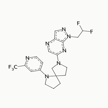 FC(F)Cn1ncc2ncc(N3CCC4(CCCN4c4ccnc(C(F)(F)F)c4)C3)nc21